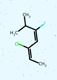 C/C=C(Cl)\C=C(\F)C(C)C